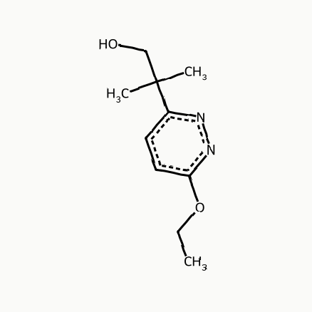 CCOc1ccc(C(C)(C)CO)nn1